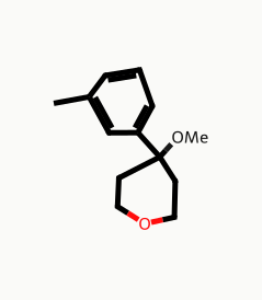 COC1(c2cccc(C)c2)CCOCC1